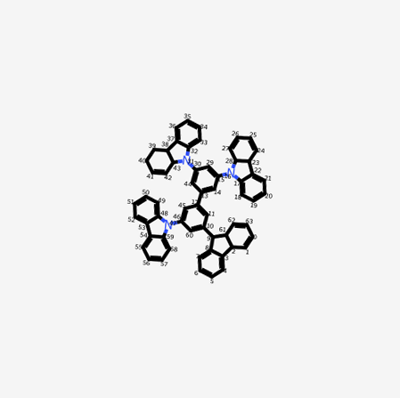 C1=CC2c3ccccc3C(c3cc(-c4cc(N5c6ccccc6C6C=CC=CC65)cc(N5c6ccccc6C6CCC=CC65)c4)cc(-n4c5ccccc5c5ccccc54)c3)C2C=C1